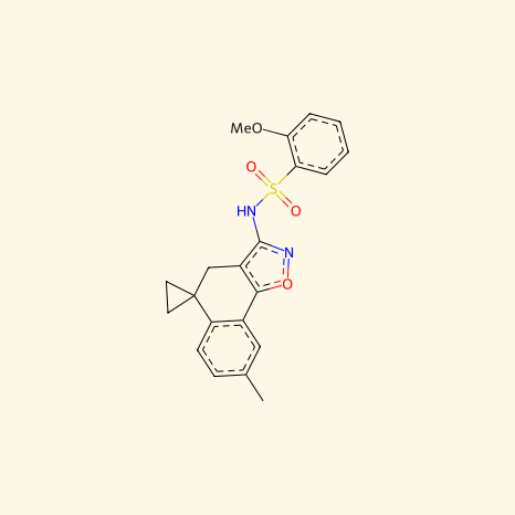 COc1ccccc1S(=O)(=O)Nc1noc2c1CC1(CC1)c1ccc(C)cc1-2